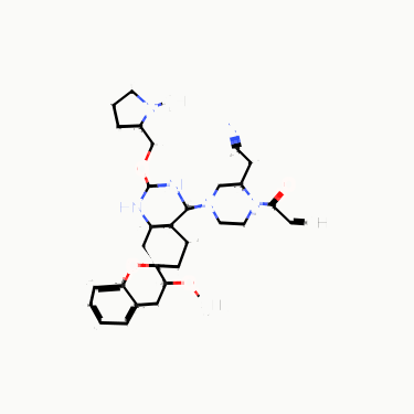 C=CC(=O)N1CCN(C2NC(OCC3CCCN3C)NC3C[C@]4(CCC32)Oc2ccccc2CC4OC)CC1CC#N